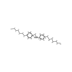 CCCCCCCc1ccc(CNc2ccc(CCCCCCC)cc2)cc1